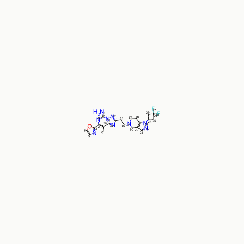 Cc1c(-c2ncco2)nc(N)n2nc(CCN3CCc4c(cnn4C4CC(F)(F)C4)C3)nc12